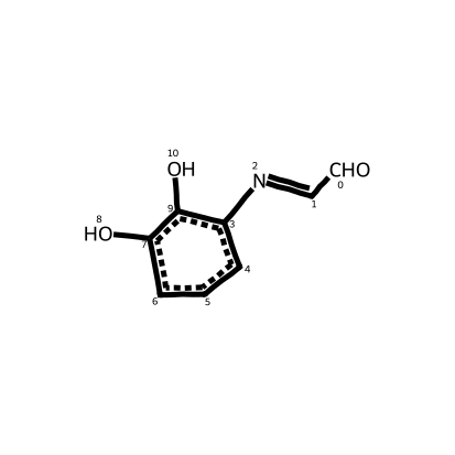 O=CC=Nc1cccc(O)c1O